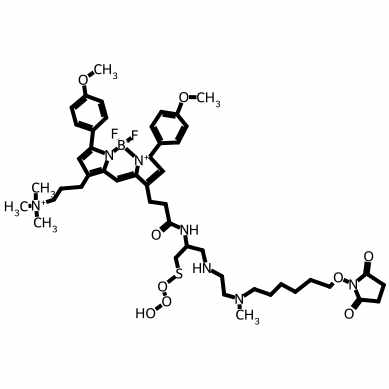 COc1ccc(C2=[N+]3C(=Cc4c(CCC[N+](C)(C)C)cc(-c5ccc(OC)cc5)n4[B-]3(F)F)C(CCC(=O)NC(CNCCN(C)CCCCCCON3C(=O)CCC3=O)CSOOO)=C2)cc1